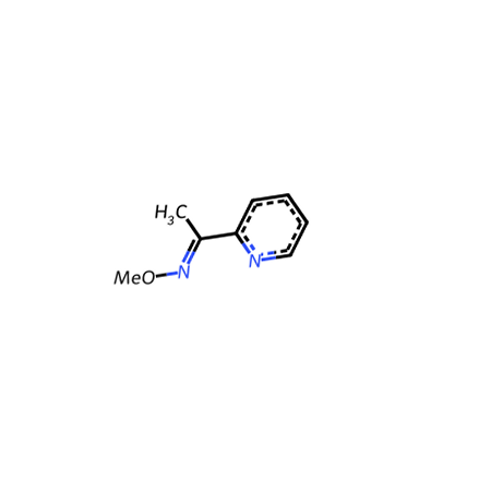 CON=C(C)c1ccccn1